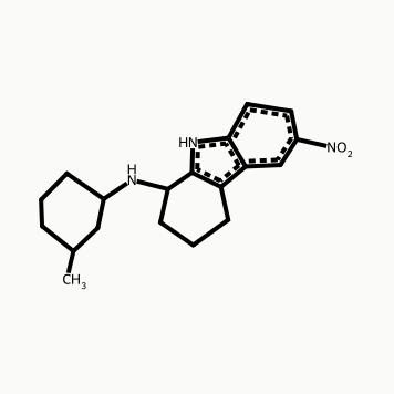 CC1CCCC(NC2CCCc3c2[nH]c2ccc([N+](=O)[O-])cc32)C1